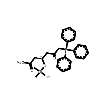 COC(=O)C[C@@H](CC(=O)C[PH](c1ccccc1)(c1ccccc1)c1ccccc1)O[Si](C)(C)C(C)(C)C